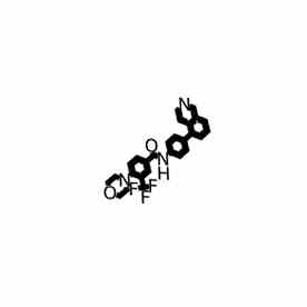 O=C(Nc1ccc(-c2cccc3cnccc23)cc1)c1ccc(N2CCOCC2)c(C(F)(F)F)c1